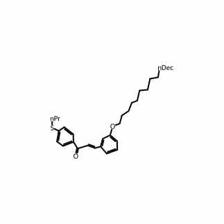 CCCCCCCCCCCCCCCCCCCOc1cccc(C=CC(=O)c2ccc(SCCC)cc2)c1